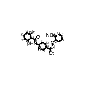 CC/C(=N/Oc1cccnc1C#N)c1ccc(NC(=O)c2c(F)cccc2F)nc1